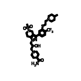 CC1CCN(CCSc2cc(-c3nn(C[C@@H](O)CN4CCC(C(N)=O)CC4)c4c3CN(S(C)(=O)=O)CC4)ccc2C(F)(F)F)CC1